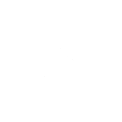 CCOC(=O)c1c([N+](=O)[O-])c(C)nn1CC